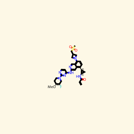 C=CC(=O)N[C@@H]1C[C@@H]1c1ccc(N2CC(CS(C)(=O)=O)C2)c2cnc(Nc3ccnc(N4CC[C@@H](OC)[C@@H](F)C4)n3)cc12